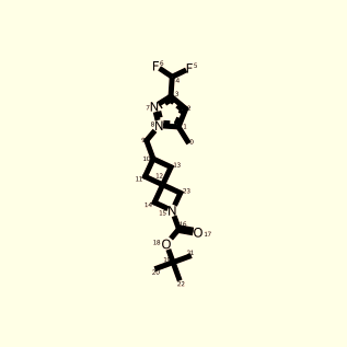 Cc1cc(C(F)F)nn1CC1CC2(C1)CN(C(=O)OC(C)(C)C)C2